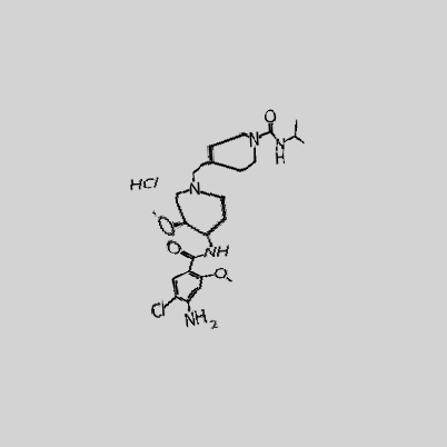 COc1cc(N)c(Cl)cc1C(=O)N[C@@H]1CCN(CC2CCN(C(=O)NC(C)C)CC2)C[C@@H]1OC.Cl